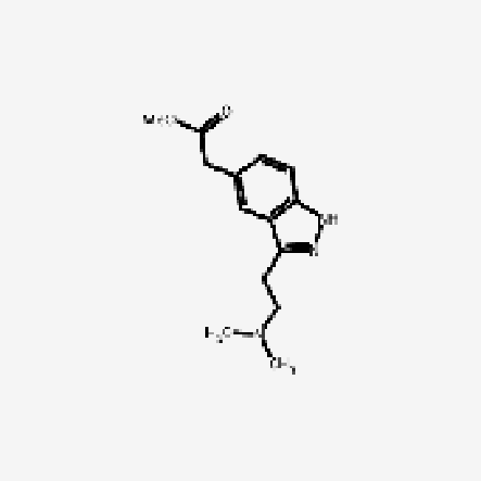 COC(=O)Cc1ccc2[nH]nc(CCN(C)C)c2c1